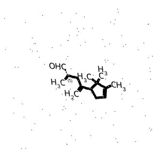 C=C(C[C@H](C)C=O)C1CC=C(C)C1(C)C